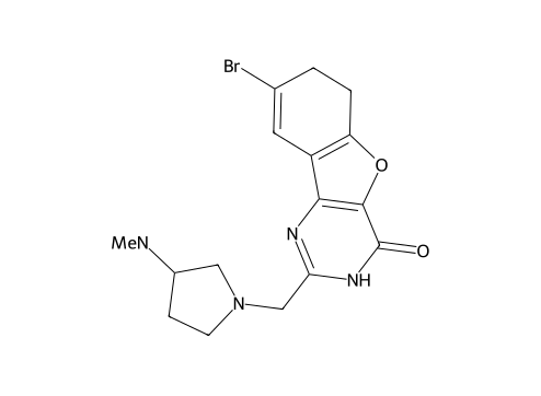 CNC1CCN(Cc2nc3c4c(oc3c(=O)[nH]2)CCC(Br)=C4)C1